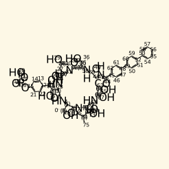 C[C@@H](O)[C@@H]1NC(=O)[C@H]([C@H](O)[C@@H](O)c2ccc(O[PH](=O)OO)cc2)NC(=O)[C@@H]2C[C@@H](O)CN2C(=O)[C@H]([C@@H](C)O)NC(=O)C(NC(=O)c2ccc(-c3ccc(-c4ccccc4)cc3)cc2)C[C@@H](O)[C@@H](O)NC(=O)[C@@H]2[C@@H](O)[C@@H](C)CN2C1=O